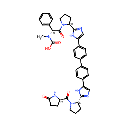 CN(C(=O)O)[C@@H](C(=O)N1CCC[C@H]1c1ncc(-c2ccc(-c3ccc(-c4cnc([C@@H]5CCCN5C(=O)[C@H]5CCC(=O)N5)[nH]4)cc3)cc2)[nH]1)c1ccccc1